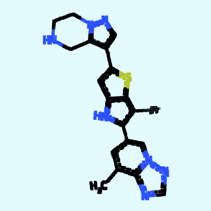 Cc1cc(-c2[nH]c3cc(-c4cnn5c4CNCC5)sc3c2C(C)C)cn2ncnc12